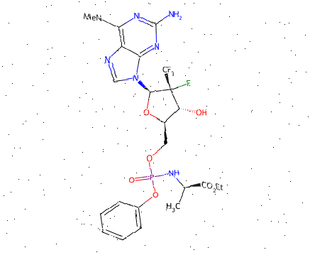 CCOC(=O)[C@@H](C)NP(=O)(OC[C@H]1O[C@@H](n2cnc3c(NC)nc(N)nc32)[C@@](F)(C(F)(F)F)[C@@H]1O)Oc1ccccc1